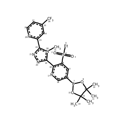 CCS(=O)(=O)c1cc(B2OC(C)(C)C(C)(C)O2)cnc1-c1nnc(-c2cc(C(F)(F)F)ccn2)n1C